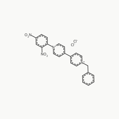 O=[N+]([O-])c1ccc(-[n+]2ccc(-c3cc[n+](Cc4ccccc4)cc3)cc2)c([N+](=O)[O-])c1.[Cl-].[Cl-]